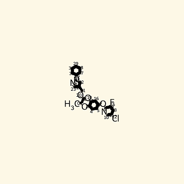 CC(Oc1ccc(Oc2ncc(Cl)cc2F)cc1)C(=O)OCc1cnn(-c2ccccc2)c1